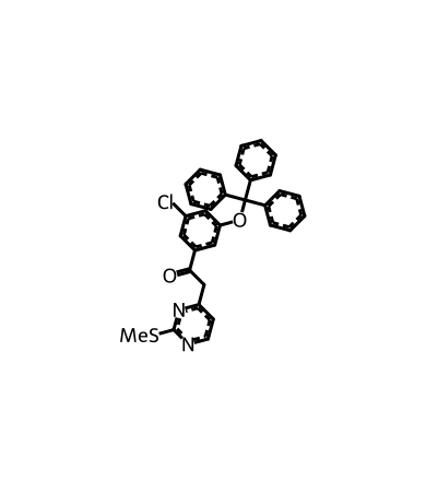 CSc1nccc(CC(=O)c2cc(Cl)cc(OC(c3ccccc3)(c3ccccc3)c3ccccc3)c2)n1